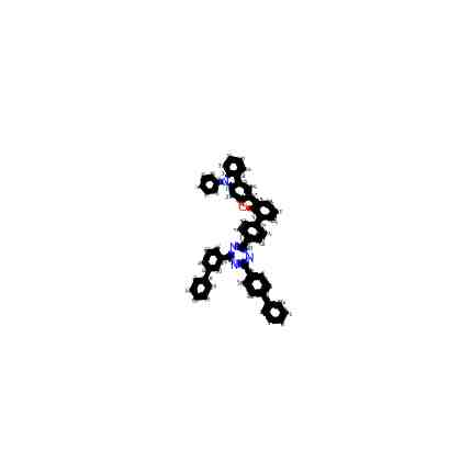 c1ccc(-c2ccc(-c3nc(-c4ccc(-c5cccc6c5oc5cc7c(cc56)c5ccccc5n7-c5ccccc5)cc4)nc(-c4cccc(-c5ccccc5)c4)n3)cc2)cc1